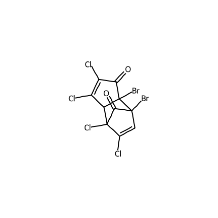 O=C1C2(Cl)C(Cl)=CC1(Br)C1(Br)C(=O)C(Cl)=C(Cl)C21